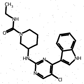 CCNC(=O)N1CCCC(Nc2ncc(Cl)c(-c3c[nH]c4ccccc34)n2)C1